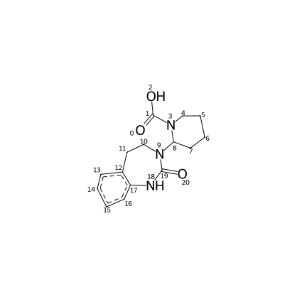 O=C(O)N1CCCCC1N1CCc2ccccc2NC1=O